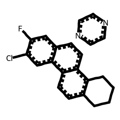 Fc1cc2ccc3c4c(ccc3c2cc1Cl)CCCC4.c1cnccn1